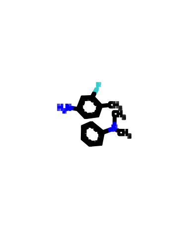 CN(C)c1ccccc1.Cc1ccc(N)cc1F